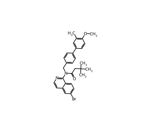 COc1ccc(-c2ccc(CN(C(=O)CC(C)(C)C)c3nccc4cc(Br)ccc34)cc2)cc1C